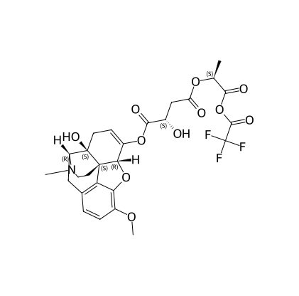 COc1ccc2c3c1O[C@H]1C(OC(=O)[C@@H](O)CC(=O)O[C@@H](C)C(=O)OC(=O)C(F)(F)F)=CC[C@@]4(O)[C@@H](C2)N(C)CC[C@]314